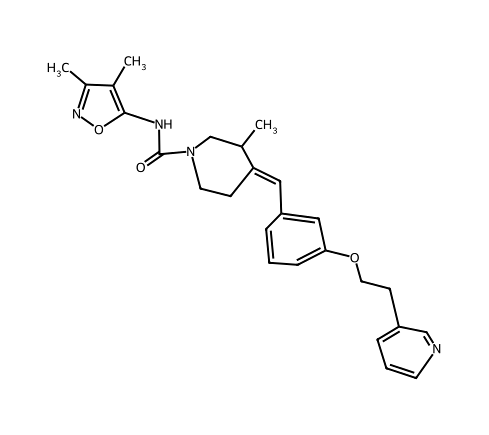 Cc1noc(NC(=O)N2CC/C(=C\c3cccc(OCCc4cccnc4)c3)C(C)C2)c1C